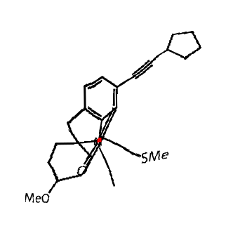 COC1CCC2(CC1)Cc1ccc(C#CC3CCCC3)cc1C21N=C(SC)N(C)C1=O